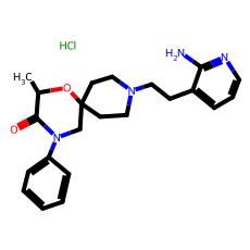 CC1OC2(CCN(CCc3cccnc3N)CC2)CN(c2ccccc2)C1=O.Cl